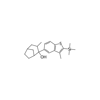 Cc1c([Si](C)(C)C)sc2ccc(C3(O)C(C)CC4CCC3C4)cc12